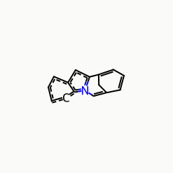 C1=CC2=Cn3c(cc4ccccc43)C(=C1)C2